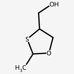 C[C]1OCC(CO)S1